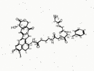 Cc1c(F)cc2nc3c(c4c2c1CC[C@@H]4NC(=O)CCCNC(=O)CNC(=O)[C@@H](Cc1ccccc1)NC(=O)CNC(=O)CN)Cn1c-3cc2c(c1=O)COC(=O)[C@H]2O